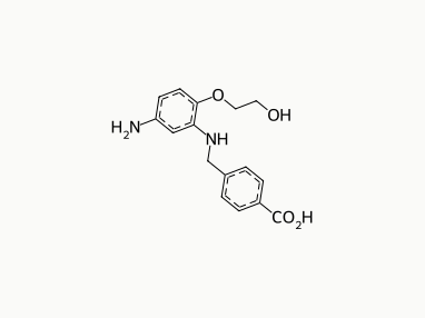 Nc1ccc(OCCO)c(NCc2ccc(C(=O)O)cc2)c1